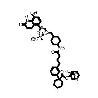 CC(C)(C)[Si](C)(C)O[C@H](CNCC1CCC(NC(=O)CCCc2cccc(C3(C(=O)O[C@H]4CN5CCC4CC5)CCCCC3)c2)CC1)c1ccc(O)c2[nH]c(=O)ccc12